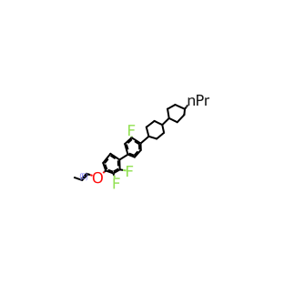 C/C=C/Oc1ccc(-c2ccc(C3CCC(C4CCC(CCC)CC4)CC3)c(F)c2)c(F)c1F